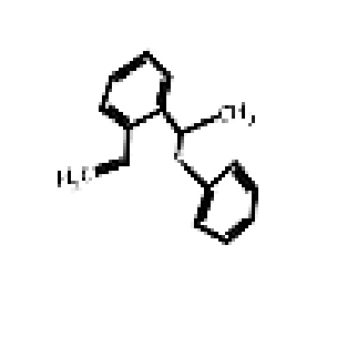 C=Cc1ccccc1C(C)Sc1ccccc1